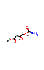 CC(C)OC(=O)CC(=O)COC(N)=O